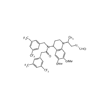 COc1cc2c(cc1OC)N(C(C)COC=O)CCC2N(Cc1cc(C(F)(F)F)cc(C(F)(F)F)c1)C(=O)Cc1cc(C(F)(F)F)cc(C(F)(F)F)c1